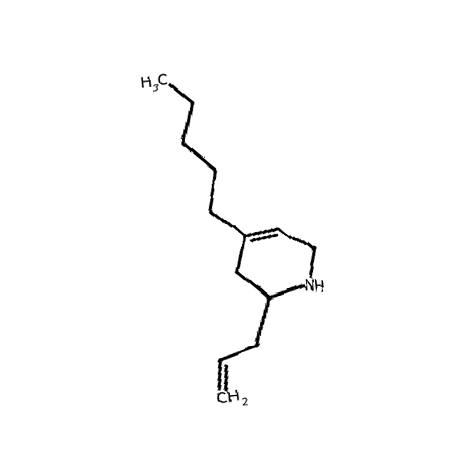 C=CCC1CC(CCCCC)=CCN1